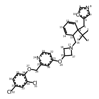 CC(C)(C)C1(Cc2cnco2)C=CC=CC1CN1CC(Oc2ccnc(COc3ccc(Cl)cc3Cl)c2)C1